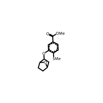 COC(=O)c1ccc(SC)c(OC2CC3CCC2O3)c1